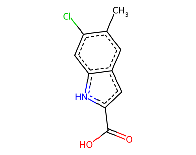 Cc1cc2cc(C(=O)O)[nH]c2cc1Cl